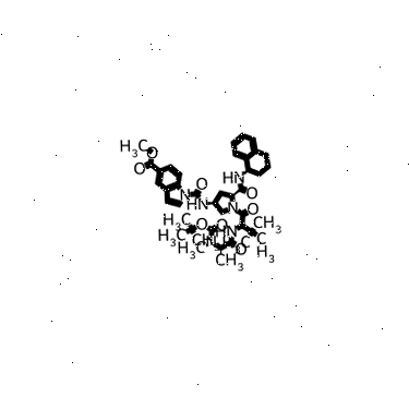 COC(=O)c1ccc2c(ccn2C(=O)N[C@H]2C[C@@H](C(=O)N[C@@H]3CCCc4ccccc43)N(C(=O)C(NC(=O)[C@H](C)N(C)C(=O)OC(C)(C)C)C(C)(C)C)C2)c1